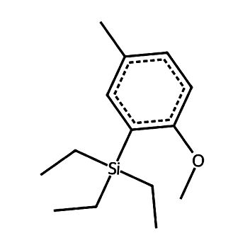 CC[Si](CC)(CC)c1cc(C)ccc1OC